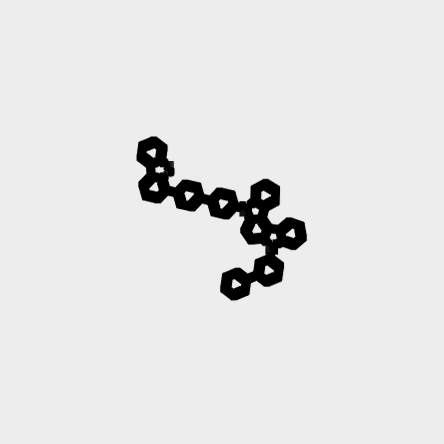 c1ccc(-c2cccc(-n3c4ccccc4c4c5c6ccccc6n(-c6ccc(-c7ccc(-c8cccc9c8sc8ccccc89)cc7)cc6)c5ccc43)c2)cc1